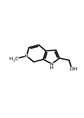 CN1C=Cc2cc(CO)[nH]c2C1